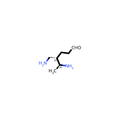 C[C@H](N)[C@H](CN)CCC=O